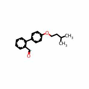 CC(C)CCOc1ccc(-c2ccccc2[C]=O)cc1